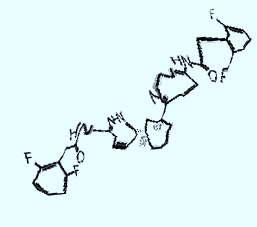 O=C(Cc1c(F)cccc1F)Nc1ccc([C@H]2CCC[C@H](c3ccc(NC(=O)Cc4c(F)cccc4F)nn3)C2)nn1